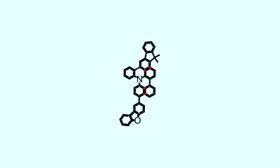 CC1(C)c2ccccc2-c2cc(-c3ccccc3N(c3ccc(-c4ccc5oc6ccccc6c5c4)cc3)c3ccccc3-c3ccccc3)ccc21